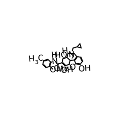 COc1ccc(C)cc1NC(=O)C1=C(O)C2Oc3c(O)ccc4c3[C@@]23CCN(CC2CC2)[C@H](C4)[C@]3(O)C1